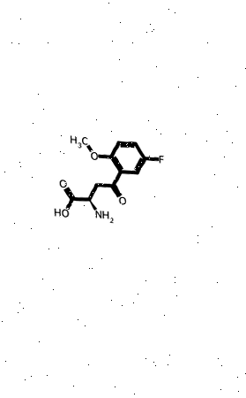 COc1ccc(F)cc1C(=O)C[C@@H](N)C(=O)O